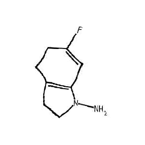 NN1CCC2=C1C=C(F)CC2